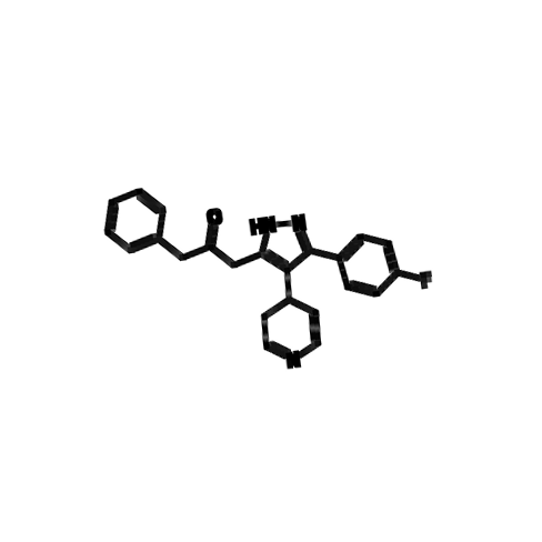 O=C(Cc1ccccc1)Cc1[nH]nc(-c2ccc(F)cc2)c1C1C=CN=CC1